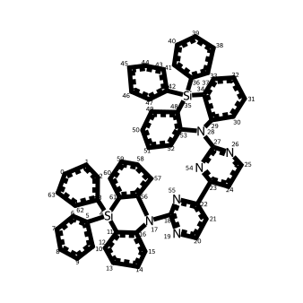 c1ccc([Si]2(c3ccccc3)c3ccccc3N(c3nccc(-c4ccnc(N5c6ccccc6[Si](c6ccccc6)(c6ccccc6)c6ccccc65)n4)n3)c3ccccc32)cc1